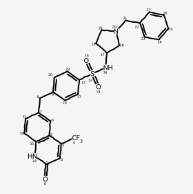 O=c1cc(C(F)(F)F)c2cc(Cc3ccc(S(=O)(=O)NC4CCN(Cc5ccccc5)C4)cc3)ccc2[nH]1